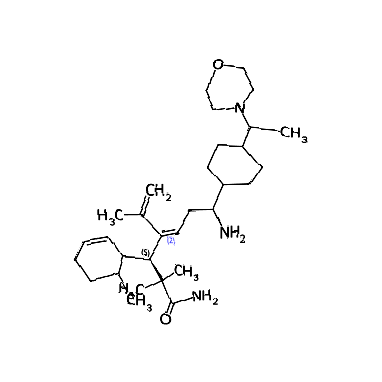 C=C(C)/C(=C\CC(N)C1CCC(C(C)N2CCOCC2)CC1)[C@H](C1C=CCCC1C)C(C)(C)C(N)=O